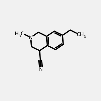 CCc1ccc2c(c1)CN(C)CC2C#N